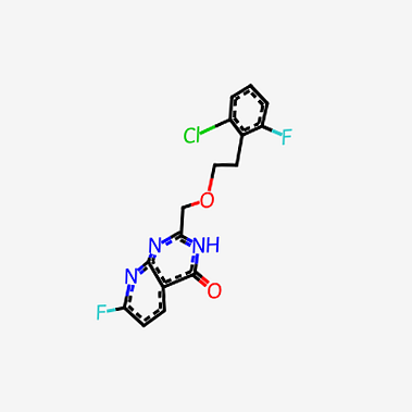 O=c1[nH]c(COCCc2c(F)cccc2Cl)nc2nc(F)ccc12